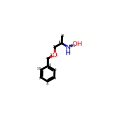 [CH2]C(COCc1ccccc1)NO